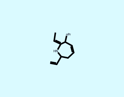 C=CC1CC=CC(CCC)/C(=C\C)N1